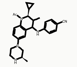 CC(=O)N1c2ccc(N3CCN[C@H](C)C3)cc2C(Nc2ccc(C#N)cc2)C(C)[C@@H]1C1CC1